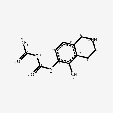 N#Cc1c(NC(=O)OC(=O)C(F)(F)F)ccc2c1CCNC2